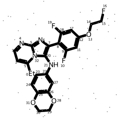 CCc1ccnc2nc(-c3c(F)cc(OCCF)cc3F)c(Nc3ccc4c(c3)OCCO4)n12